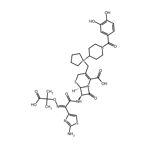 CC(C)(O/N=C(\C(=O)N[C@@H]1C(=O)N2C(C(=O)O)=C(C[N+]3(C4CCN(C(=O)c5ccc(O)c(O)c5)CC4)CCCC3)CS[C@H]12)c1csc(N)n1)C(=O)O